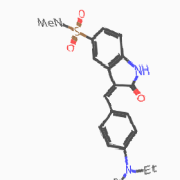 CCN(CC)c1ccc(C=C2C(=O)Nc3ccc(S(=O)(=O)NC)cc32)cc1